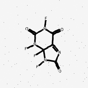 O=C1C2=NC(=O)N(F)C2(F)N(F)C(=O)N1F